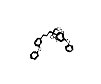 CCC(C)(CCCc1cccc(Oc2ccccc2)c1)c1ccc(Oc2ccccc2)cc1